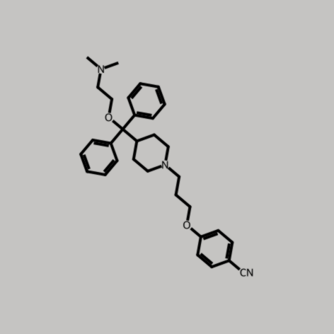 CN(C)CCOC(c1ccccc1)(c1ccccc1)C1CCN(CCCOc2ccc(C#N)cc2)CC1